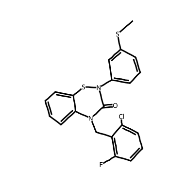 CSc1cccc(N2Sc3ccccc3N(Cc3c(F)cccc3Cl)C2=O)c1